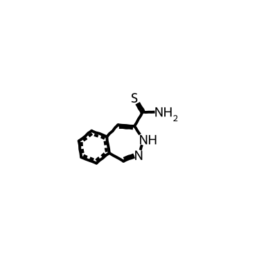 NC(=S)C1=Cc2ccccc2C=NN1